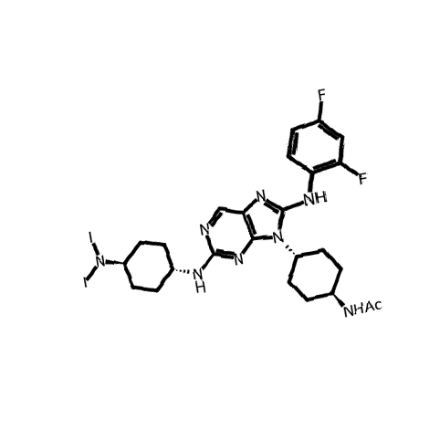 CC(=O)N[C@H]1CC[C@H](n2c(Nc3ccc(F)cc3F)nc3cnc(N[C@H]4CC[C@H](N(I)I)CC4)nc32)CC1